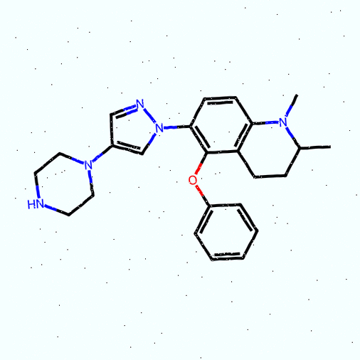 CC1CCc2c(ccc(-n3cc(N4CCNCC4)cn3)c2Oc2ccccc2)N1C